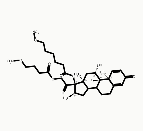 C[C@@H]1CC2C3CCC4=CC(=O)C=C[C@]4(C)[C@@]3(F)[C@@H](O)C[C@]2(C)[C@@]1(OC(=O)CCCCCO[N+](=O)[O-])C(=O)COC(=O)CCCO[N+](=O)[O-]